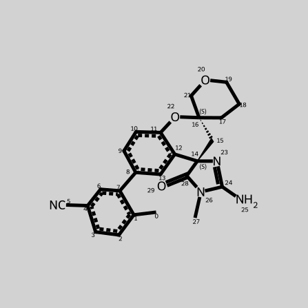 Cc1ccc(C#N)cc1-c1ccc2c(c1)[C@]1(C[C@]3(CCCOC3)O2)N=C(N)N(C)C1=O